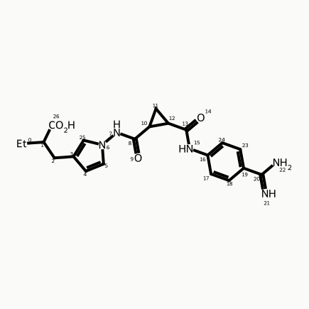 CCC(Cc1ccn(NC(=O)C2CC2C(=O)Nc2ccc(C(=N)N)cc2)c1)C(=O)O